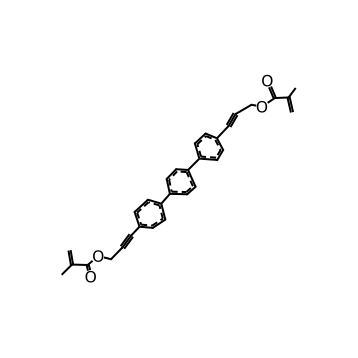 C=C(C)C(=O)OCC#Cc1ccc(-c2ccc(-c3ccc(C#CCOC(=O)C(=C)C)cc3)cc2)cc1